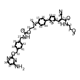 COCCNC(=O)/C(C#N)=C/c1ccc(-c2ccc(N(C)CCOC(=O)NCc3ccc(COc4nccc(N)n4)cc3)cc2)s1